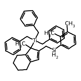 Cc1cccc([SiH2]CC2=CC3=C(CCCC3)[C]2(C)[Ti]([CH2]c2ccccc2)([CH2]c2ccccc2)[CH2]c2ccccc2)c1C